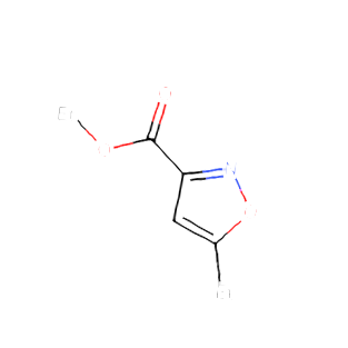 CCOC(=O)c1cc(CC)on1